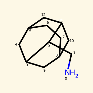 NCC1C2CC3CCC(C2)CC1C3